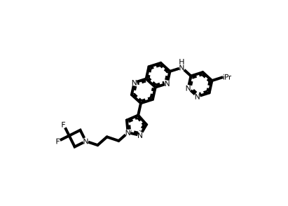 CC(C)c1cnnc(Nc2ccc3ncc(-c4cnn(CCCN5CC(F)(F)C5)c4)cc3n2)c1